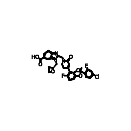 CC1(c2ccc(Cl)cc2F)Oc2ccc(F)c(C3=CC(=O)N(Cc4nc5ccc(C(=O)O)cc5n4C[C@@H]4CCO4)CC3)c2O1